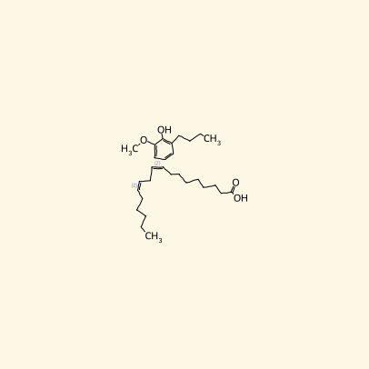 CCCCC/C=C\C/C=C\CCCCCCCC(=O)O.CCCCc1cccc(OC)c1O